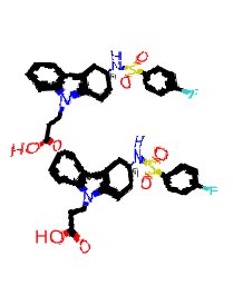 O=C(O)CCn1c2c(c3ccccc31)C[C@H](NS(=O)(=O)c1ccc(F)cc1)CC2.O=C(O)CCn1c2c(c3ccccc31)C[C@H](NS(=O)(=O)c1ccc(F)cc1)CC2